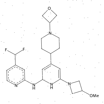 COC1CN(C2=CC(C3CCN(C4COC4)CC3)=CC(Nc3cc(C(F)F)ccn3)N2)C1